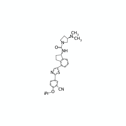 CC(C)Oc1ccc(-c2ncc(-c3cccc4c3CC[C@H]4NC(=O)N3CC[C@@H](N(C)C)C3)s2)cc1C#N